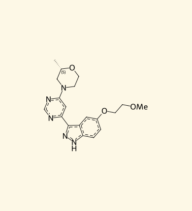 COCCOc1ccc2[nH]nc(-c3cc(N4CCO[C@@H](C)C4)ncn3)c2c1